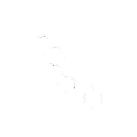 O=[N+]([O-])c1ccc(-n2cc(-c3ccccn3)cn2)c(F)c1